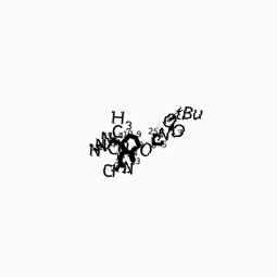 CC(C)(C)OC(=O)N1CC(Oc2ccc(C(C)(C)N=[N+]=[N-])c3cc(Cl)ncc23)C1